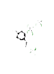 Cc1ccc([CH2][K])cc1.F[B-](F)(F)F.F[B-](F)(F)F.F[B-](F)(F)F